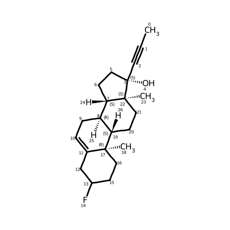 CC#C[C@]1(O)CC[C@H]2[C@@H]3CC=C4CC(F)CC[C@]4(C)[C@H]3CC[C@@]21C